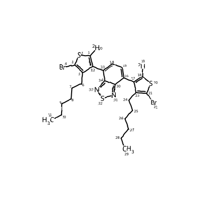 [2H]c1sc(Br)c(CCCCCC)c1-c1ccc(-c2c([2H])sc(Br)c2CCCCCC)c2nsnc12